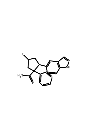 NC(=O)C1(c2cccnc2)CC(F)CC1c1ccc2[nH]ncc2c1